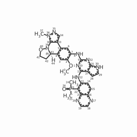 COc1cc2c(cc1Nc1nc(Nc3ccc4nccnc4c3P(C)(C)=O)c3cc[nH]c3n1)-c1cnn(C)c1N1OCC[C@H]21